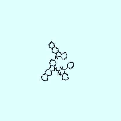 c1ccc(-c2nc(-n3c4cc(-n5c6ccccc6c6cc7ccccc7cc65)ccc4c4cc5ccccc5cc43)nc3ccccc23)cc1